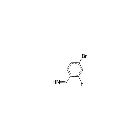 N=Cc1ccc(Br)cc1F